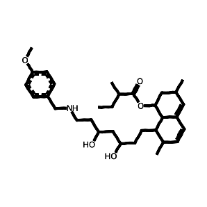 CCC(C)C(=O)OC1CC(C)C=C2C=CC(C)C(CCC(O)CC(O)CCNCc3ccc(OC)cc3)C21